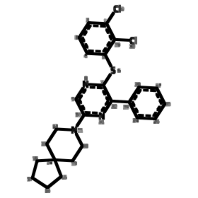 Clc1cccc(Sc2ncc(N3CCC4(CCCC4)CC3)nc2-c2ccccc2)c1Cl